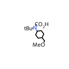 COCC1CCC(N(C(=O)O)C(C)(C)C)CC1